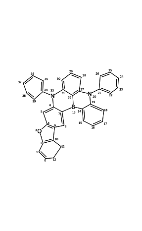 C1=Cc2oc3cc4c(cc3c2CC1)B1c2ccccc2N(c2ccccc2)c2cccc(c21)N4c1ccccc1